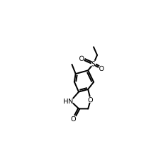 CCS(=O)(=O)c1cc2c(cc1C)NC(=O)CO2